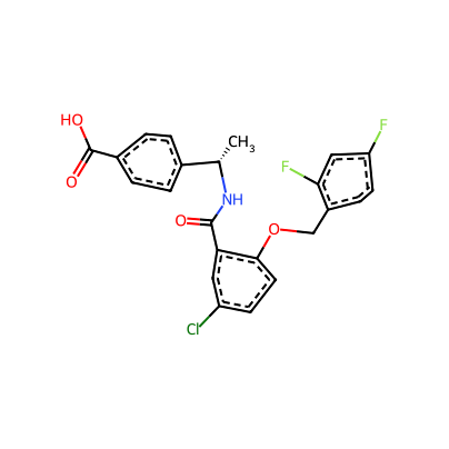 C[C@H](NC(=O)c1cc(Cl)ccc1OCc1ccc(F)cc1F)c1ccc(C(=O)O)cc1